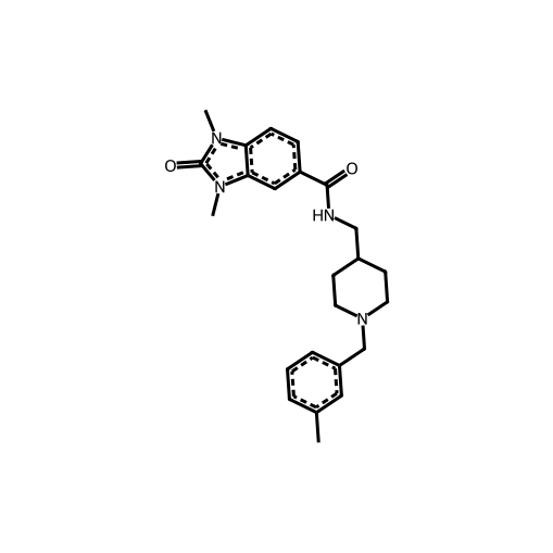 Cc1cccc(CN2CCC(CNC(=O)c3ccc4c(c3)n(C)c(=O)n4C)CC2)c1